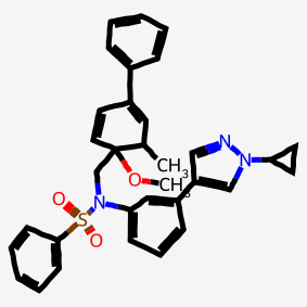 COC1(CN(c2cccc(-c3cnn(C4CC4)c3)c2)S(=O)(=O)c2ccccc2)C=CC(c2ccccc2)=CC1C